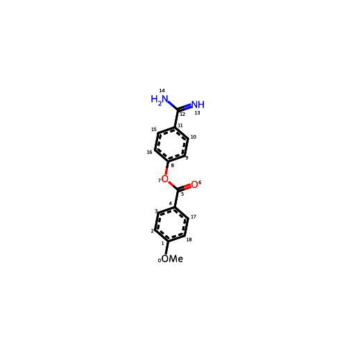 COc1ccc(C(=O)Oc2ccc(C(=N)N)cc2)cc1